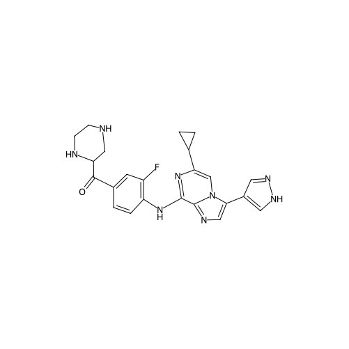 O=C(c1ccc(Nc2nc(C3CC3)cn3c(-c4cn[nH]c4)cnc23)c(F)c1)C1CNCCN1